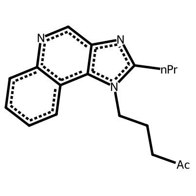 CCCc1nc2cnc3ccccc3c2n1CCCC(C)=O